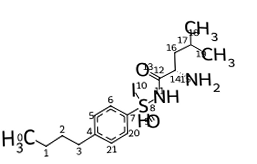 CCCCc1ccc([SH](=O)(I)NC(=O)[C@@H](N)CC(C)C)cc1